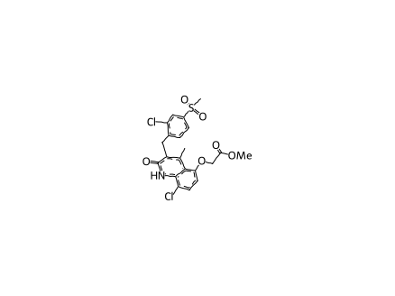 COC(=O)COc1ccc(Cl)c2[nH]c(=O)c(Cc3ccc(S(C)(=O)=O)cc3Cl)c(C)c12